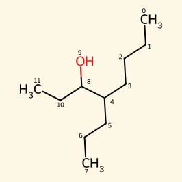 CCCCC(CCC)C(O)CC